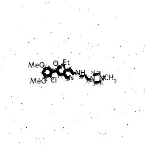 CCn1c(=O)c(-c2cc(OC)cc(OC)c2Cl)cc2cnc(NCCCN3CCN(C)CC3)cc21